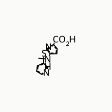 CC1(c2cccnc2)Nc2ccc(C(=O)O)nc2S1